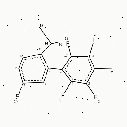 Cc1c(F)c(F)c(-c2cc(F)ccc2C(C)C)c(F)c1F